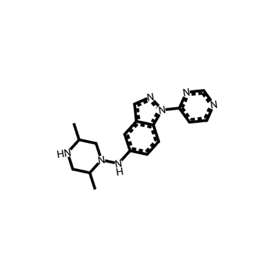 CC1CN(Nc2ccc3c(cnn3-c3ccncn3)c2)C(C)CN1